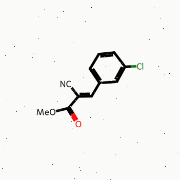 COC(=O)/C(C#N)=C/c1cccc(Cl)c1